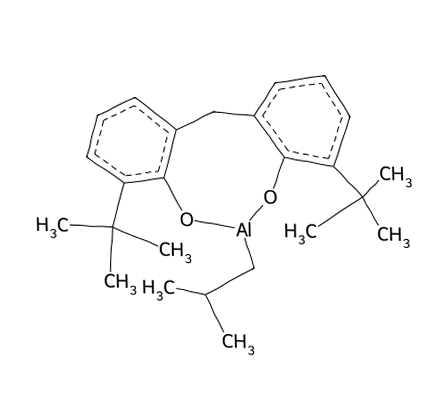 CC(C)[CH2][Al]1[O]c2c(cccc2C(C)(C)C)Cc2cccc(C(C)(C)C)c2[O]1